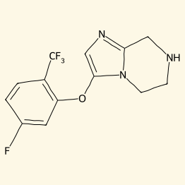 Fc1ccc(C(F)(F)F)c(Oc2cnc3n2CCNC3)c1